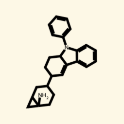 NC12CCC(C3C=C4c5ccccc5N(c5ccccc5)C4CC3)CC1C2